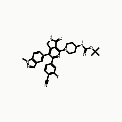 Cn1ncc2cc(-c3c(-c4ccc(C#N)c(F)c4)nc(N4CCC(NC(=O)OC(C)(C)C)CC4)c4c3CNC4=O)ccc21